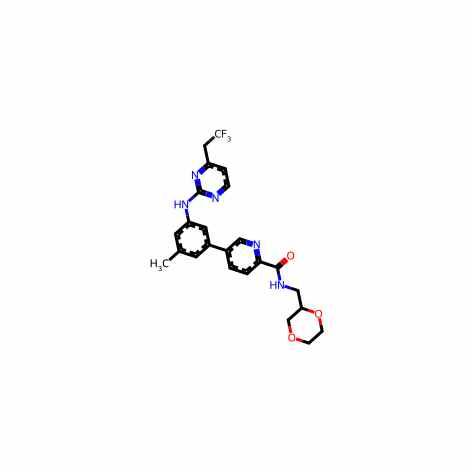 Cc1cc(Nc2nccc(CC(F)(F)F)n2)cc(-c2ccc(C(=O)NCC3COCCO3)nc2)c1